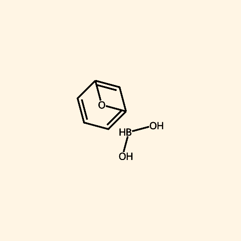 OBO.c1cc2cc(c1)O2